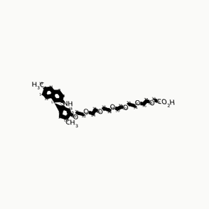 CC1=CC2CC2(Nc2ccc3cc(C)ccc3c2)C=C1OCCOCCOCCOCCOCCOCCOCC(=O)O